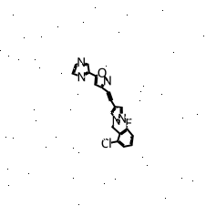 Fc1cccc(Cl)c1Cn1cc(C#Cc2cc(-c3cnccn3)on2)cn1